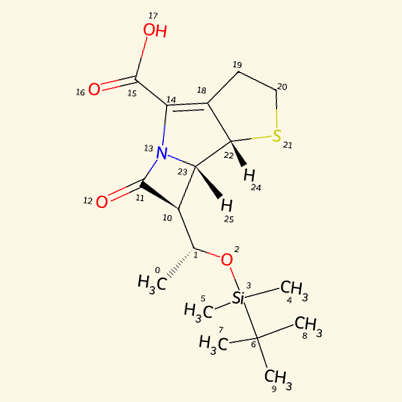 C[C@@H](O[Si](C)(C)C(C)(C)C)[C@H]1C(=O)N2C(C(=O)O)=C3CCS[C@@H]3[C@H]12